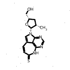 C[C@H]1C[C@@H](CO)O[C@H]1n1cc2c3c(ncnc31)NC(=S)C=C2